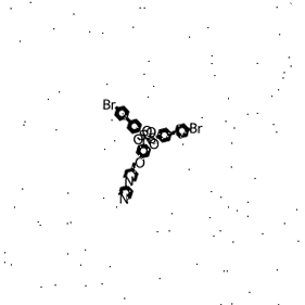 O=S(=O)(c1ccc(-c2ccc(Br)cc2)cc1)N(c1ccc(OCC2CCN(c3ccncc3)CC2)cc1)S(=O)(=O)c1ccc(-c2ccc(Br)cc2)cc1